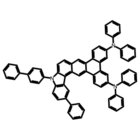 c1ccc(-c2ccc(-n3c4ccc(-c5ccccc5)cc4c4c5cc6c7ccc(N(c8ccccc8)c8ccccc8)cc7c7cc(N(c8ccccc8)c8ccccc8)ccc7c6cc5ccc43)cc2)cc1